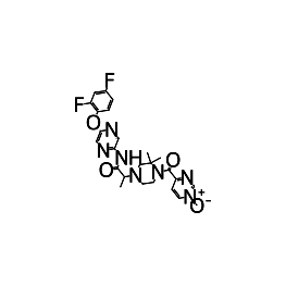 CC(C(=O)Nc1cnc(Oc2ccc(F)cc2F)cn1)N1CCN(C(=O)c2cc[n+]([O-])cn2)C(C)(C)C1